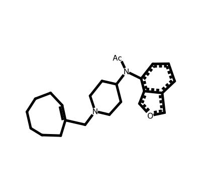 CC(=O)N(c1cccc2cocc12)C1CCN(C/C2=C/CCCCCC2)CC1